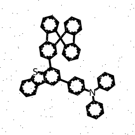 c1ccc(N(c2ccccc2)c2ccc(-c3cc(-c4ccc5c(c4)C4(c6ccccc6-c6ccccc64)c4ccccc4-5)c4sc5ccccc5c4c3)cc2)cc1